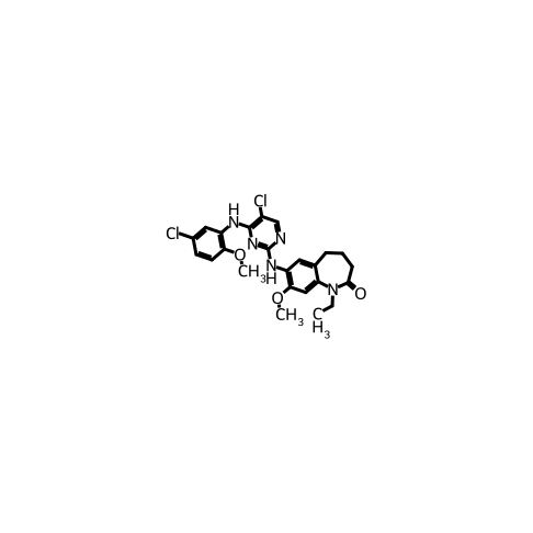 CCN1C(=O)CCCc2cc(Nc3ncc(Cl)c(Nc4cc(Cl)ccc4OC)n3)c(OC)cc21